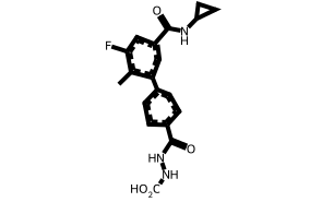 Cc1c(F)cc(C(=O)NC2CC2)cc1-c1ccc(C(=O)NNC(=O)O)cc1